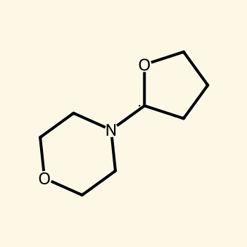 C1CO[C](N2CCOCC2)C1